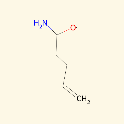 C=CCCC(N)[O]